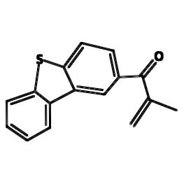 C=C(C)C(=O)c1ccc2sc3ccccc3c2c1